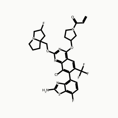 C=CC(=O)N1CCC(Oc2nc(OCC34CCCN3CC(F)C4)nc3c(Cl)c(-c4ccc(F)c5sc(N)nc45)c(C(F)(F)F)cc23)C1